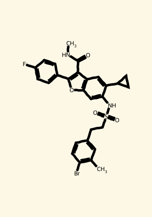 CNC(=O)c1c(-c2ccc(F)cc2)oc2cc(NS(=O)(=O)CCc3ccc(Br)c(C)c3)c(C3CC3)cc12